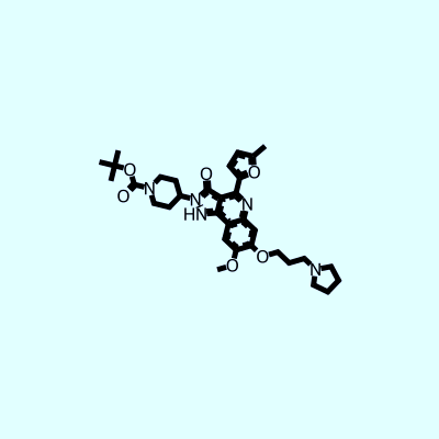 COc1cc2c(cc1OCCCN1CCCC1)nc(-c1ccc(C)o1)c1c(=O)n(C3CCN(C(=O)OC(C)(C)C)CC3)[nH]c12